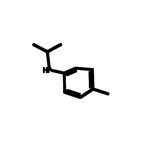 Cc1ccc(PC(C)C)cc1